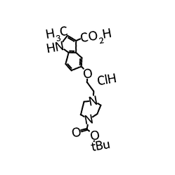 Cc1[nH]c2ccc(OCCN3CCN(C(=O)OC(C)(C)C)CC3)cc2c1C(=O)O.Cl